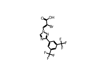 O=C(O)C(Br)=Cn1cnc(-c2cc(C(F)(F)F)cc(C(F)(F)F)c2)n1